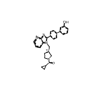 O=C(C1CC1)N1CC[C@@H](Cn2c(-c3ccc(-c4cccc(O)c4)cc3)nc3ncccc32)C1